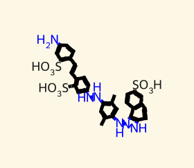 Cc1cc(Nn2[nH]c3ccc4cc(S(=O)(=O)O)ccc4c32)c(C)cc1NNc1ccc(C=Cc2ccc(N)cc2S(=O)(=O)O)c(S(=O)(=O)O)c1